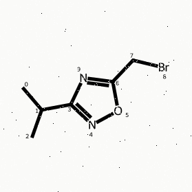 CC(C)c1noc(CBr)n1